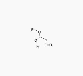 CC(C)OC(CC=O)OC(C)C